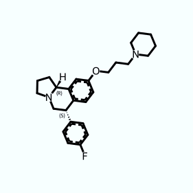 Fc1ccc([C@@H]2CN3CCC[C@@H]3c3cc(OCCCN4CCCCC4)ccc32)cc1